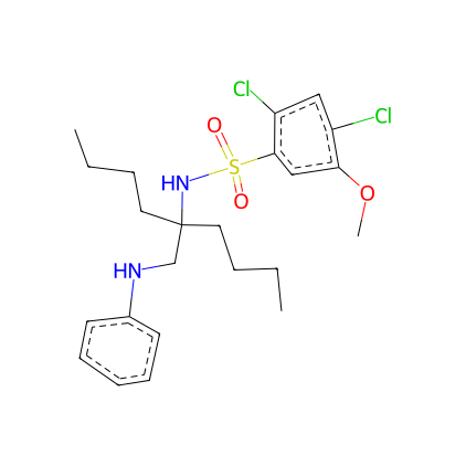 CCCCC(CCCC)(CNc1ccccc1)NS(=O)(=O)c1cc(OC)c(Cl)cc1Cl